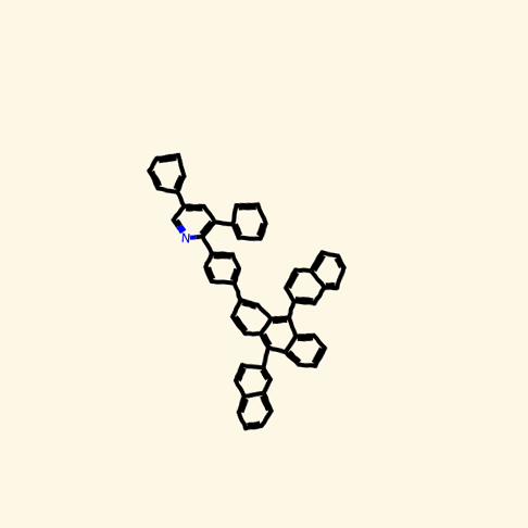 c1ccc(-c2cnc(-c3ccc(-c4ccc5c(-c6ccc7ccccc7c6)c6ccccc6c(-c6ccc7ccccc7c6)c5c4)cc3)c(-c3ccccc3)c2)cc1